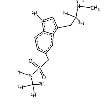 [2H]N(C([2H])([2H])[2H])S(=O)(=O)Cc1ccc2c(c1)c(CC([2H])([2H])N(C)C)cn2[2H]